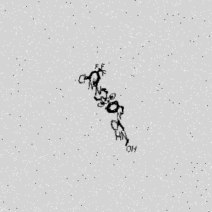 O=C(CNCCO)N1CCc2cc(S(=O)(=O)N3CCN(c4cc(C(F)(F)F)cc(Cl)n4)CC3)ccc21